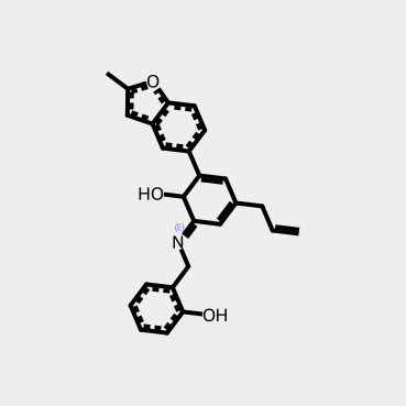 C=CCC1=C/C(=N\Cc2ccccc2O)C(O)C(c2ccc3oc(C)cc3c2)=C1